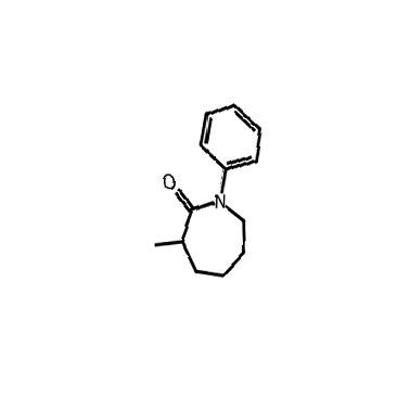 CC1CCCCN(c2ccccc2)C1=O